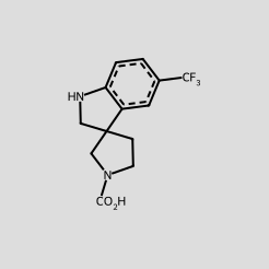 O=C(O)N1CCC2(CNc3ccc(C(F)(F)F)cc32)C1